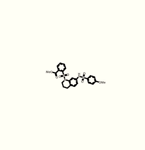 COC(=O)c1ccccc1S(=O)(=O)N1CCCc2ccc(NS(=O)(=O)c3ccc(OC)cc3)cc21